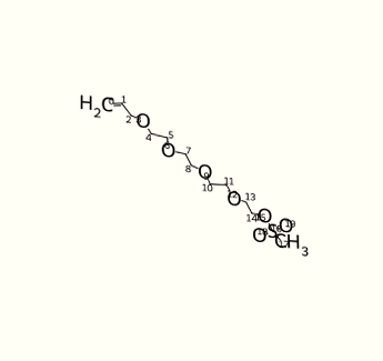 C=CCOCCOCCOCCOCCOS(C)(=O)=O